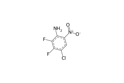 Nc1c([N+](=O)[O-])cc(Cl)c(F)c1F